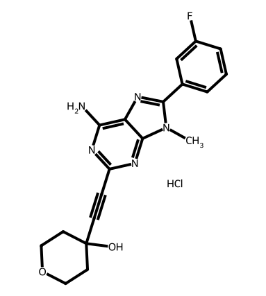 Cl.Cn1c(-c2cccc(F)c2)nc2c(N)nc(C#CC3(O)CCOCC3)nc21